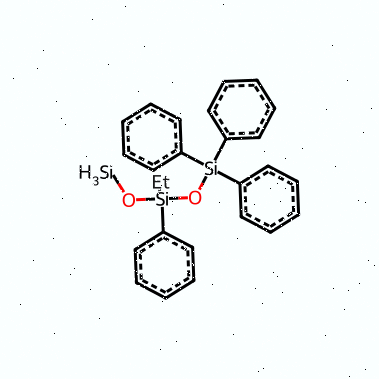 CC[Si](O[SiH3])(O[Si](c1ccccc1)(c1ccccc1)c1ccccc1)c1ccccc1